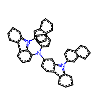 c1ccc(N(c2ccc3c4ccccc4n(-c4ccc5ccccc5c4)c3c2)c2cccc3c4ccccc4n(-c4ccc5ccccc5c4)c23)cc1